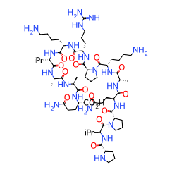 CC(C)[C@H](NC(=O)[C@H](CCCCN)NC(=O)[C@H](CCCNC(=N)N)NC(=O)[C@@H]1CCCN1C(=O)[C@H](CCCCN)NC(=O)[C@H](C)NC(=O)[C@H](CCC(N)=O)NC(=O)[C@@H]1CCCN1C(=O)[C@@H](NC(=O)[C@@H]1CCCN1)C(C)C)C(=O)N[C@@H](C)C(=O)N[C@@H](C)C(=O)N[C@@H](CCC(N)=O)C(=O)O